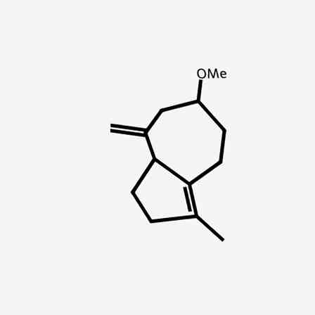 C=C1CC(OC)CCC2=C(C)CCC12